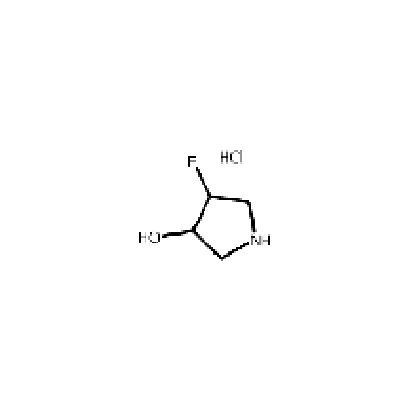 Cl.OC1CNCC1F